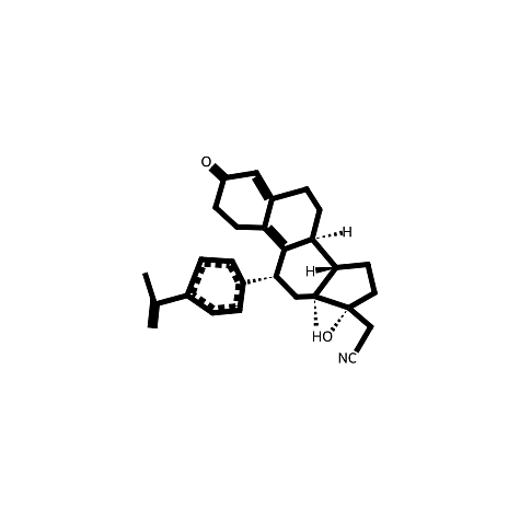 C=C(C)c1ccc([C@H]2C[C@@]3(C)[C@@H](CC[C@@]3(O)CC#N)[C@@H]3CCC4=CC(=O)CCC4=C32)cc1